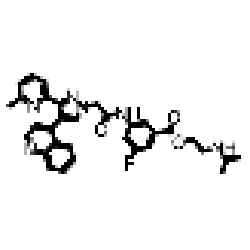 Cc1cccc(-c2nn(CC(=O)Nc3cc(F)cc(C(=O)OCCNC(C)C)c3)cc2-c2ccnc3ccccc23)n1